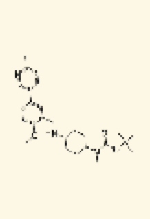 COc1ccc(-c2ccc(C)nc2)cc1CNC1CCC(N(C)C(=O)OC(C)(C)C)CC1